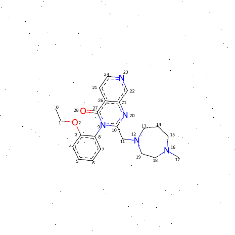 CCOc1ccccc1-n1c(CN2CCCN(C)CC2)nc2cnccc2c1=O